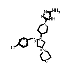 Nc1nnc(N2CCC(N3C[C@H](N4CCOCC4)C[C@@H]3Cc3ccc(Cl)cc3)CC2)[nH]1